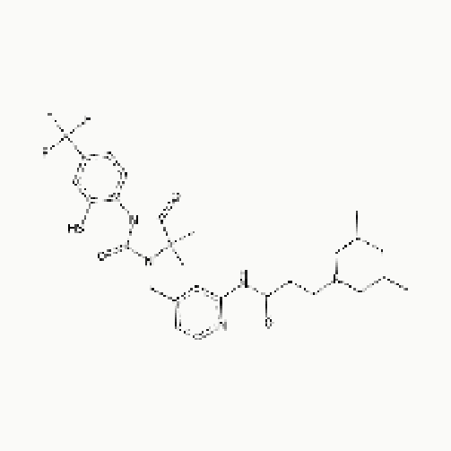 CC1CC(C)CN(CCC(=O)Nc2cc(CN3C(=O)N(c4ccc(C(F)(F)F)cc4S)C(=O)C3(C)C)ccn2)C1